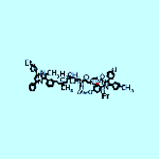 CCN1CCN(c2cc(-c3ccccc3)nc3c(-c4cccc(CCC(C)(C)CCC(C)(C)CCCNC(=O)CN5CCN(C(=O)N6C(c7ccc(OC)cc7OC(C)C)=NC(c7ccc(C)cc7)C6c6ccc(Cl)cc6)CC5)c4)c(C)nn23)CC1